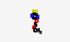 COCCOc1cnc(S)cn1